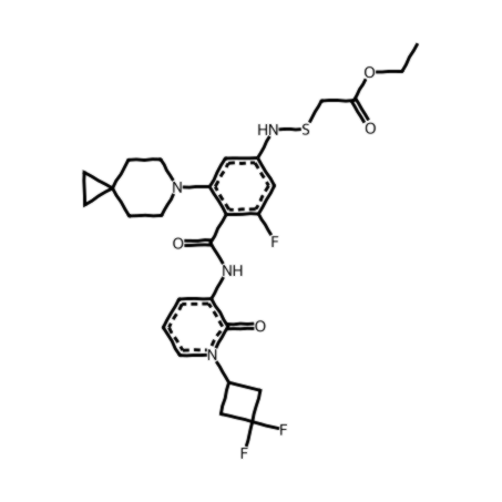 CCOC(=O)CSNc1cc(F)c(C(=O)Nc2cccn(C3CC(F)(F)C3)c2=O)c(N2CCC3(CC2)CC3)c1